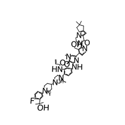 C=CC(=O)Nc1cc(Nc2nc(-c3ccnc(N4CCn5c(cc6c5CC(C)(C)C6)C4=O)c3CO)cn(C)c2=O)ccc1N1CCN(C2CCN(c3ccc(F)c(C(C)(C)O)c3)[C@H](C)C2)C[C@@H]1C